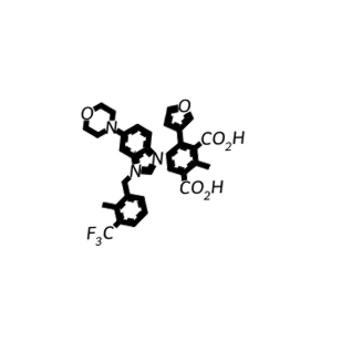 Cc1c(C(=O)O)ccc(-c2ccoc2)c1C(=O)O.Cc1c(Cn2cnc3ccc(N4CCOCC4)cc32)cccc1C(F)(F)F